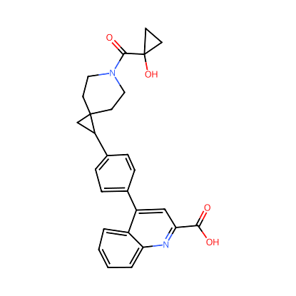 O=C(O)c1cc(-c2ccc(C3CC34CCN(C(=O)C3(O)CC3)CC4)cc2)c2ccccc2n1